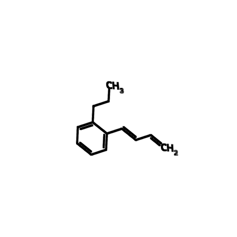 C=CC=Cc1ccccc1CCC